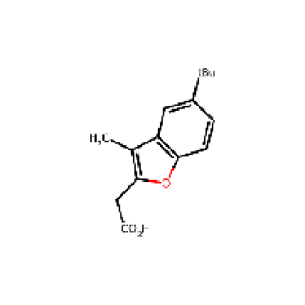 Cc1c(CC(=O)O)oc2ccc(C(C)(C)C)cc12